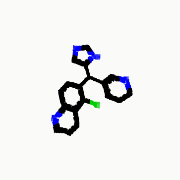 Clc1c(C(c2cccnc2)c2cnc[nH]2)ccc2ncccc12